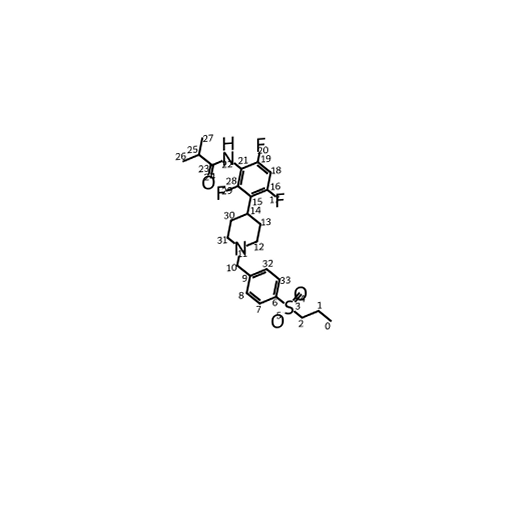 CCCS(=O)(=O)c1ccc(CN2CCC(c3c(F)cc(F)c(NC(=O)C(C)C)c3F)CC2)cc1